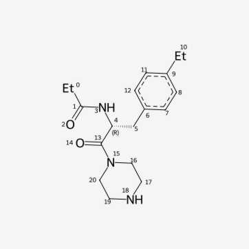 CCC(=O)N[C@H](Cc1ccc(CC)cc1)C(=O)N1CCNCC1